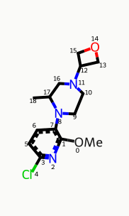 COc1nc(Cl)ccc1N1CCN(C2COC2)CC1C